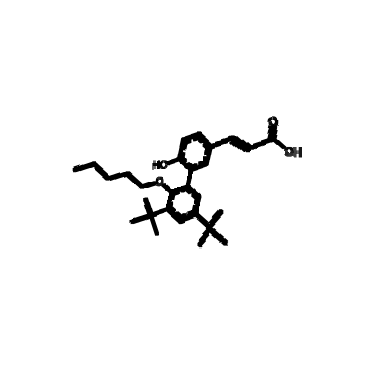 CCCCCOc1c(-c2cc(C=CC(=O)O)ccc2O)cc(C(C)(C)C)cc1C(C)(C)C